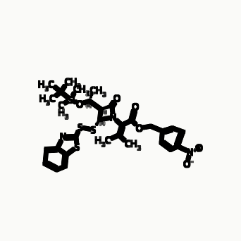 CC(C)=C(C(=O)OCc1ccc([N+](=O)[O-])cc1)N1C(=O)[C@H]([C@@H](C)O[Si](C)(C)C(C)(C)C)[C@H]1SSc1nc2ccccc2s1